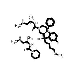 CNC[C@H](C)NC(=O)N1CCCCC1.CNC[C@H](C)NC(=O)N1CCC[C@@H]([C@@](O)(CCCCOC)c2cc(F)ccc2Oc2ccccc2)C1